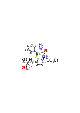 CC1(C)C2CCC1(CS(=O)(=O)O)C(=O)C2.CCOC(=O)CN1C(=O)[C@@H](N)[C@H](c2ccccc2)Sc2ccccc21